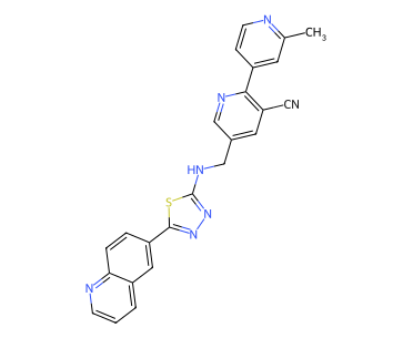 Cc1cc(-c2ncc(CNc3nnc(-c4ccc5ncccc5c4)s3)cc2C#N)ccn1